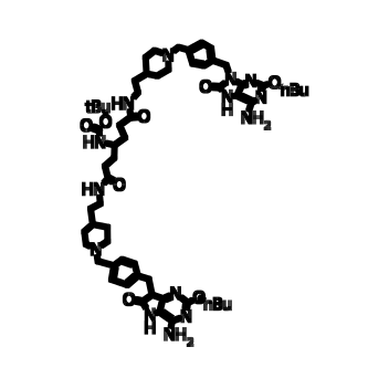 CCCCOc1nc(N)c2c(n1)C(Cc1ccc(CN3CCC(CCNC(=O)CCC(CCC(=O)NCCC4CCN(Cc5ccc(Cn6c(=O)[nH]c7c(N)nc(OCCCC)nc76)cc5)CC4)NC(=O)OC(C)(C)C)CC3)cc1)C(=O)N2